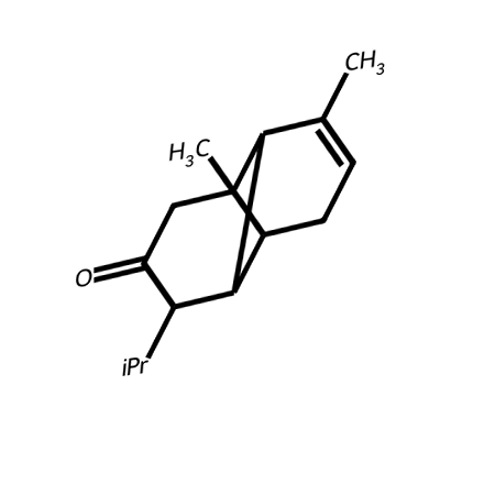 CC1=CCC2C3C(C(C)C)C(=O)CC2(C)C13